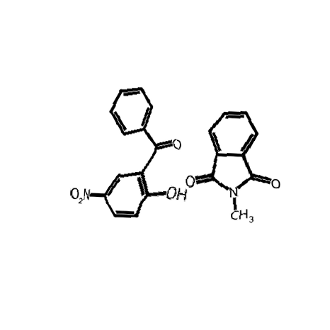 CN1C(=O)c2ccccc2C1=O.O=C(c1ccccc1)c1cc([N+](=O)[O-])ccc1O